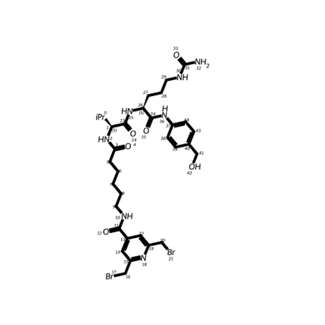 CC(C)[C@H](NC(=O)CCCCCNC(=O)c1cc(CBr)nc(CBr)c1)C(=O)N[C@@H](CCCNC(N)=O)C(=O)Nc1ccc(CO)cc1